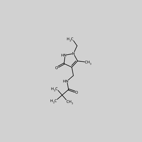 CCn1[nH]c(=O)c(CNC(=O)C(C)(C)C)c1C